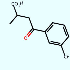 CC(CC(=O)c1cccc(C(F)(F)F)c1)C(=O)O